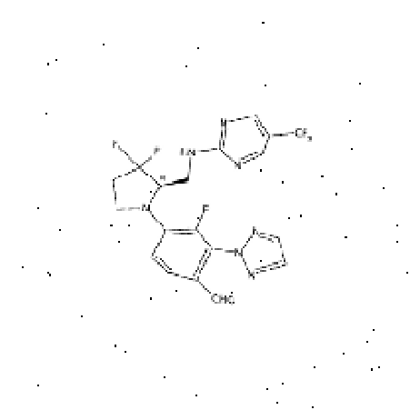 O=Cc1ccc(N2CCC(F)(F)[C@H]2CNc2ncc(C(F)(F)F)cn2)c(F)c1-n1nccn1